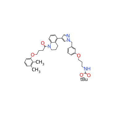 Cc1cccc(OCCCC(=O)N2CCCc3c(-c4cnn(Cc5cccc(OCCCNC(=O)OC(C)(C)C)c5)c4)cccc32)c1C